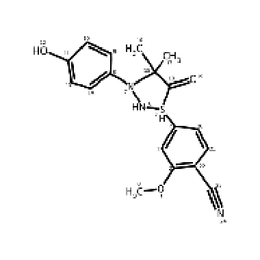 COc1cc([SH]2NN(c3ccc(O)cc3)C(C)(C)C2=O)ccc1C#N